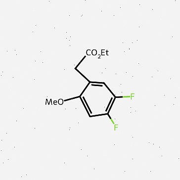 CCOC(=O)Cc1cc(F)c(F)cc1OC